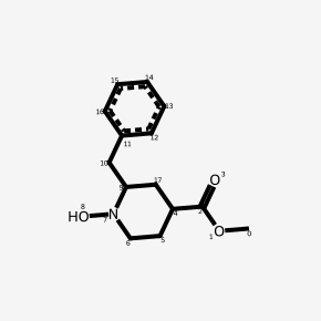 COC(=O)C1CCN(O)C(Cc2ccccc2)C1